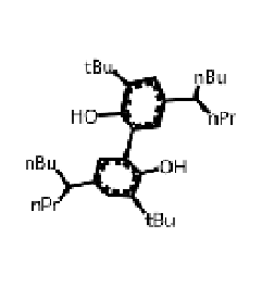 CCCCC(CCC)c1cc(-c2cc(C(CCC)CCCC)cc(C(C)(C)C)c2O)c(O)c(C(C)(C)C)c1